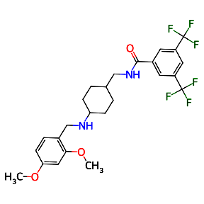 COc1ccc(CNC2CCC(CNC(=O)c3cc(C(F)(F)F)cc(C(F)(F)F)c3)CC2)c(OC)c1